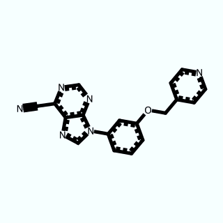 N#Cc1ncnc2c1ncn2-c1cccc(OCc2ccncc2)c1